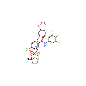 COc1cccc(CO/N=C/C2(O)CC3CC[C@H](C2)C3S(=O)(=O)c2cc(C(=O)Nc3cc(F)c(F)c(F)c3)ccc2Cl)c1